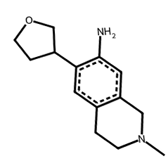 CN1CCc2cc(C3CCOC3)c(N)cc2C1